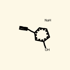 C#Cc1cccc(O)c1.[NaH]